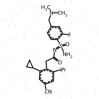 CC(C)c1cc(C#N)cc(C2CC2)c1CC(=O)N=S(N)(=O)c1ccc(CN(C)C)cc1F